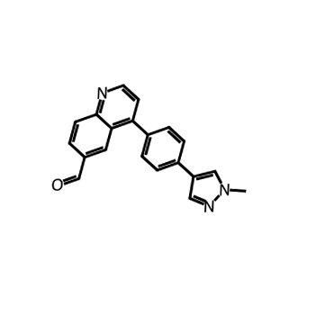 Cn1cc(-c2ccc(-c3ccnc4ccc(C=O)cc34)cc2)cn1